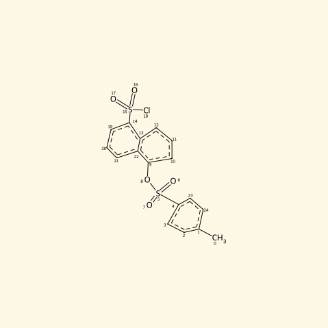 Cc1ccc(S(=O)(=O)Oc2cccc3c(S(=O)(=O)Cl)cccc23)cc1